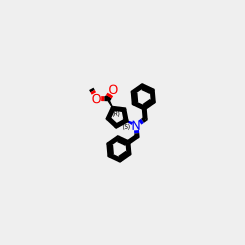 COC(=O)[C@@H]1CC[C@H](N(Cc2ccccc2)Cc2ccccc2)C1